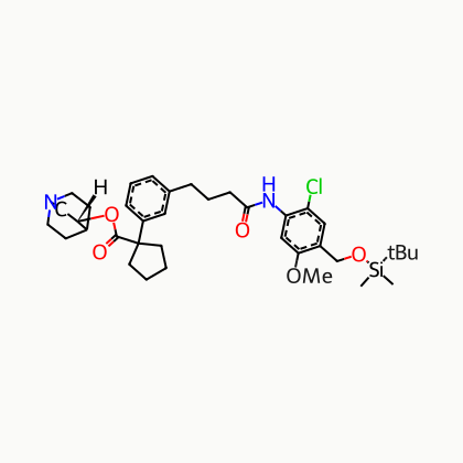 COc1cc(NC(=O)CCCc2cccc(C3(C(=O)O[C@H]4CN5CCC4CC5)CCCC3)c2)c(Cl)cc1CO[Si](C)(C)C(C)(C)C